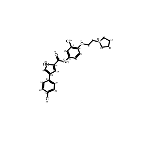 O=C(Nc1ccc(OCCN2CCCC2)c(Cl)c1)c1cc(-c2ccc(Cl)cc2)c[nH]1